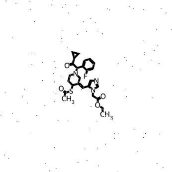 CCOC(=O)Cn1cncc1/C=C1\CN(C(C(=O)C2CC2)c2ccccc2F)CCC1SC(C)=O